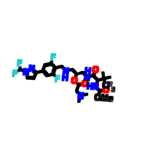 COC(=O)NC(C(=O)NC[C@H](CNCc1c(F)cc(-c2ccn(C(F)F)n2)cc1F)OC(=O)CN(C)C)C(C)(C)C(F)(F)F